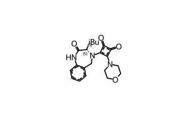 CC[C@H](C)[C@H]1C(=O)Nc2ccccc2CN1c1c(N2CCOCC2)c(=O)c1=O